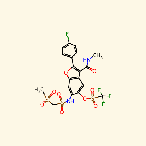 CNC(=O)c1c(-c2ccc(F)cc2)oc2cc(NS(=O)(=O)CS(C)(=O)=O)c(OS(=O)(=O)C(F)(F)F)cc12